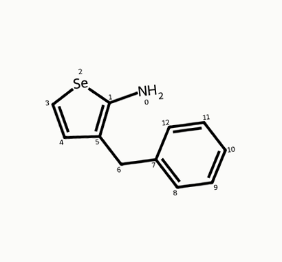 Nc1[se]ccc1Cc1ccccc1